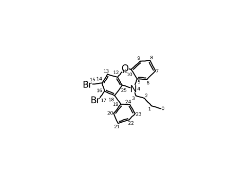 CCCCN1c2ccccc2Oc2cc(Br)c(Br)c(-c3ccccc3)c21